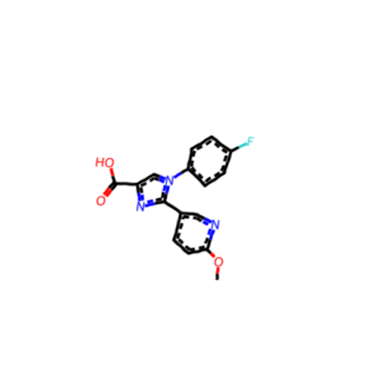 COc1ccc(-c2nc(C(=O)O)cn2-c2ccc(F)cc2)cn1